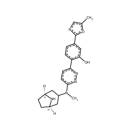 Cc1cnc(-c2ccc(-c3ccc(N(C)C4C[C@H]5CC[C@@H](C4)N5)nn3)c(O)c2)o1